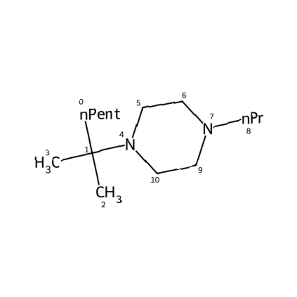 CCCCCC(C)(C)N1CCN(CCC)CC1